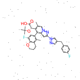 Cc1cn2nc(-n3cc(Cc4ccc(F)cc4)cn3)cc2c(-c2cc(F)c3c(c2C)CCCO3)c1[C@H](OC(C)(C)C)C(=O)O